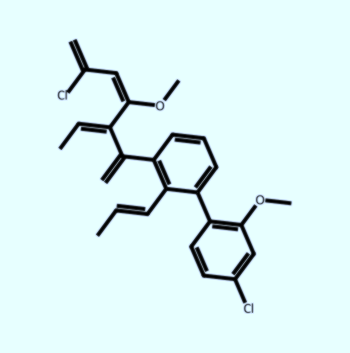 C=C(Cl)/C=C(/OC)C(=CC)C(=C)c1cccc(-c2ccc(Cl)cc2OC)c1C=CC